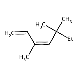 C=CC(C)=CC(C)(C)CC